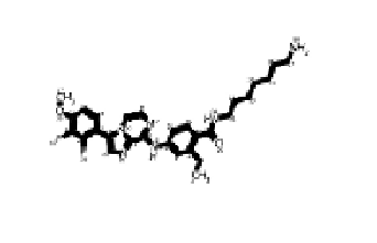 CCc1cc(Nc2nccn3c(-c4ccc(OC)c(F)c4F)cnc23)ccc1C(=O)NCCCCCCCN